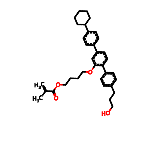 C=C(C)C(=O)OCCCCOc1cc(-c2ccc(C3CCCCC3)cc2)ccc1-c1ccc(CCCO)cc1